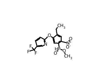 CCc1cc([N+](=O)[O-])c([PH](=O)OC)cc1Oc1ccc(C(F)(F)F)cn1